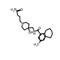 Cc1cc2c(c(C(=O)NCC3(O)CCN(CCCC(N)=O)CC3)c1)CCCCC2